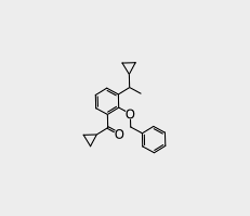 CC(c1cccc(C(=O)C2CC2)c1OCc1ccccc1)C1CC1